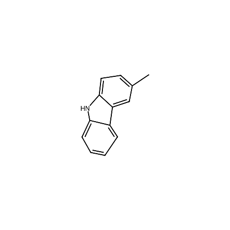 Cc1ccc2[nH]c3ccccc3c2c1